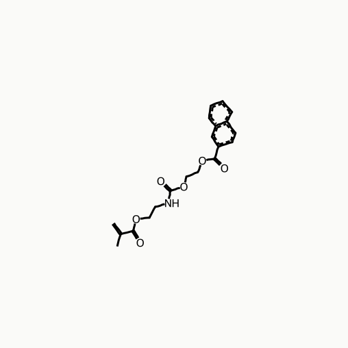 C=C(C)C(=O)OCCNC(=O)OCCOC(=O)c1ccc2ccccc2c1